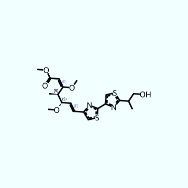 COC(=O)/C=C(/OC)[C@H](C)[C@H](/C=C/c1csc(-c2csc(C(C)CO)n2)n1)OC